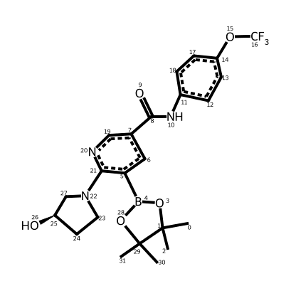 CC1(C)OB(c2cc(C(=O)Nc3ccc(OC(F)(F)F)cc3)cnc2N2CC[C@@H](O)C2)OC1(C)C